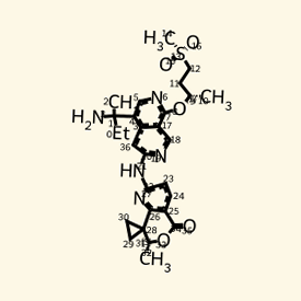 CCC(C)(N)c1cnc(O[C@@H](C)CCS(C)(=O)=O)c2cnc(Nc3ccc4c(n3)C3(CC3)[C@H](C)OC4=O)cc12